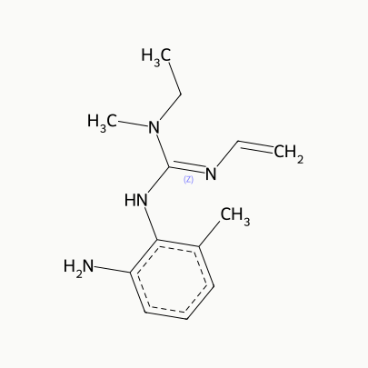 C=C/N=C(/Nc1c(C)cccc1N)N(C)CC